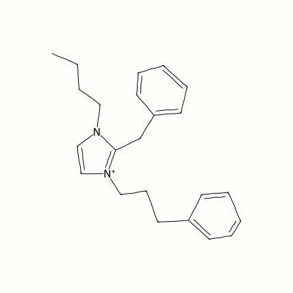 CCCCn1cc[n+](CCCc2ccccc2)c1Cc1ccccc1